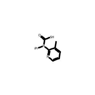 Cc1cccnc1N(C(=O)S)C(C)C